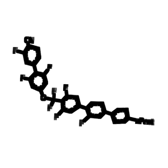 CCCCCc1ccc(-c2ccc(-c3cc(F)c(C(F)(F)Oc4cc(F)c(-c5ccc(C#N)c(F)c5)c(F)c4)c(F)c3)c(F)c2)cc1